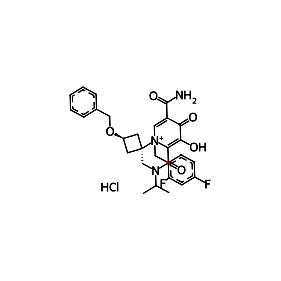 CC(C)N1C[C@]2(C[C@H](OCc3ccccc3)C2)[N+]2(Cc3ccc(F)cc3F)C=C(C(N)=O)C(=O)C(O)=C2C1=O.Cl